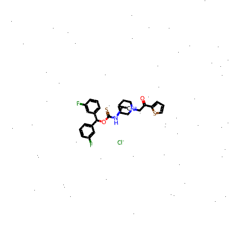 O=C(C[N+]12CCC(CC1)C(NC(=S)OC(c1cccc(F)c1)c1cccc(F)c1)C2)c1cccs1.[Cl-]